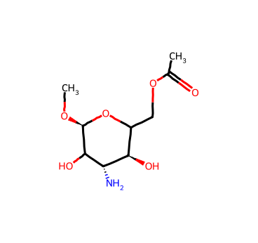 CO[C@H]1OC(COC(C)=O)[C@@H](O)[C@H](N)C1O